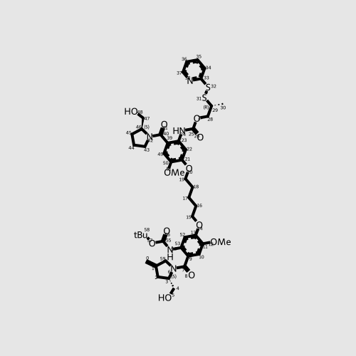 C=C1C[C@@H](CO)N(C(=O)c2cc(OC)c(OCCCCCOc3cc(NC(=O)OC[C@@H](C)SSc4ccccn4)c(C(=O)N4CCC[C@H]4CO)cc3OC)cc2NC(=O)OC(C)(C)C)C1